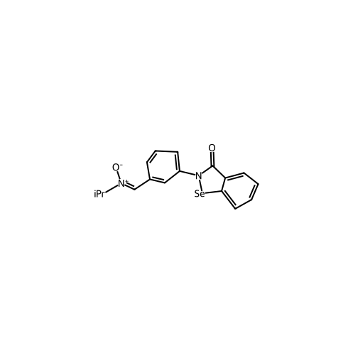 CC(C)[N+]([O-])=Cc1cccc(-n2[se]c3ccccc3c2=O)c1